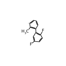 Cc1[c]cccc1-c1cc(F)ccc1F